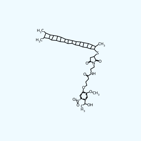 COc1cc(C(C)O)c([N+](=O)[O-])cc1OCCCC(=O)NCCN1C(=O)CC(SC2C(C)C3C2C2C3C3C2C2C3C3C2C2C4C5C6C7C8C9C(C)C(C)C9C8C7C6C5C4C32)C1=O